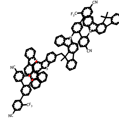 CC1(C)c2ccccc2-c2ccc3c(c21)c1ccccc1n3-c1cc(C#N)ccc1-c1cc(-c2ccc(C#N)cc2C(F)(F)F)ccc1-n1c2ccccc2c2c3c(ccc21)-c1ccccc1C3(C)Cc1ccc2c(c1)sc1c2ccc2c1c1ccccc1n2-c1cc(C#N)ccc1-c1cc(-c2ccc(C#N)cc2C(F)(F)F)ccc1-n1c2ccccc2c2c3sc4ccccc4c3ccc21